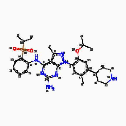 Cc1cc(-n2nc(C)c3c(Nc4ccccc4S(=O)(=O)C(C)C)nc(N)nc32)c(OC(C)C)cc1C1CCNCC1